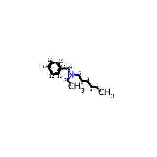 CCCCCCN(CC)Cc1ccccc1